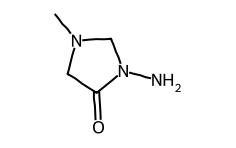 CN1CC(=O)N(N)C1